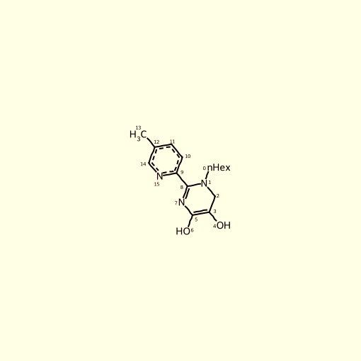 CCCCCCN1CC(O)=C(O)N=C1c1ccc(C)cn1